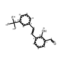 O=Cc1cccc(C=Cc2cccc(C(F)(F)F)c2)c1O